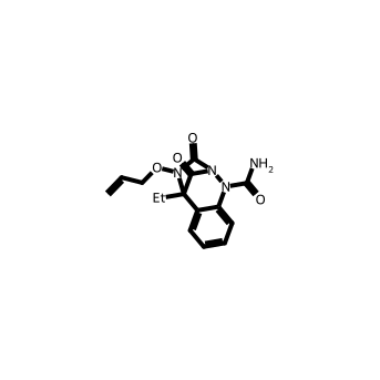 C=CCON1C(=O)N2C(=O)C1(CC)c1ccccc1N2C(N)=O